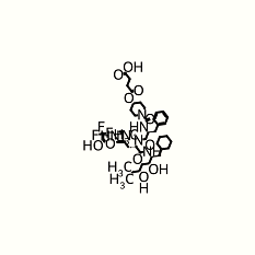 CC(C)C(O)CC(O)[C@H](CC1CCCCC1)NC(=O)[C@H](Cc1c[nH]cn1)N(C)C(=O)[C@H](Cc1ccccc1)NC(=O)N1CCC(OC(=O)CCC(=O)O)CC1.O=C(O)C(F)(F)F